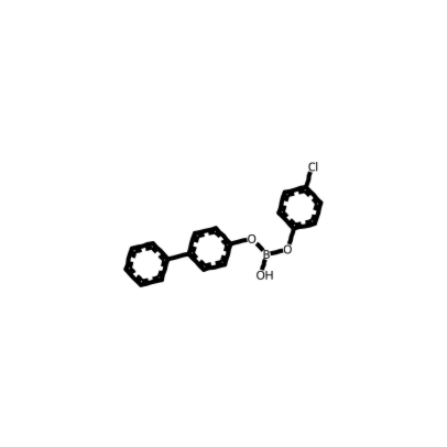 OB(Oc1ccc(Cl)cc1)Oc1ccc(-c2ccccc2)cc1